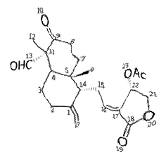 C=C1CCC2[C@](C)(CCC(=O)[C@@]2(C)C=O)[C@@H]1C/C=C1/C(=O)OC[C@H]1OC(C)=O